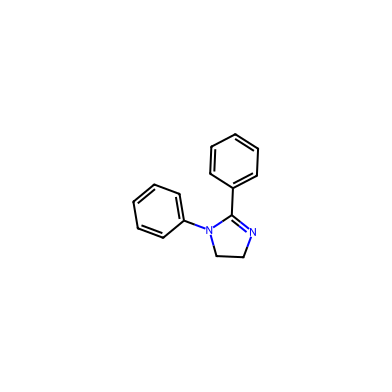 c1ccc(C2=NCCN2c2ccccc2)cc1